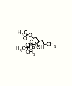 CCC[C@@H](CCOC(C)=O)N(O)C(=O)OC(C)(C)C